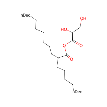 CCCCCCCCCCCCCCCCC(CCCCCCCCCCCCCC)C(=O)OC(=O)C(O)CO